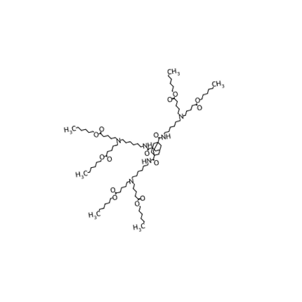 CCCCCCOC(=O)CCCCN(CCCCCCNC(=O)C12CC3CC(C(=O)NCCCCCCN(CCCCC(=O)OCCCCCC)CCCCC(=O)OCCCCCC)(C1)CC(C(=O)NCCCCCCN(CCCCC(=O)OCCCCCC)CCCCC(=O)OCCCCCC)(C3)C2)CCCCC(=O)OCCCCCC